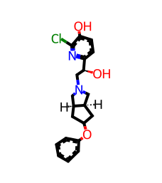 Oc1ccc([C@@H](O)CN2C[C@H]3CC(Oc4ccccc4)C[C@H]3C2)nc1Cl